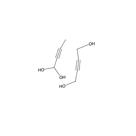 CC#CC(O)O.OCC#CCO